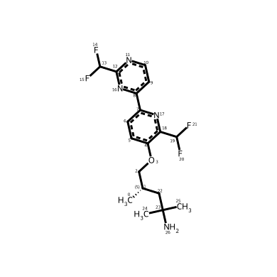 C[C@H](COc1ccc(-c2ccnc(C(F)F)n2)nc1C(F)F)CC(C)(C)N